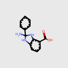 NC1(c2ccccc2)Nc2cccc(C(=O)O)c2N1